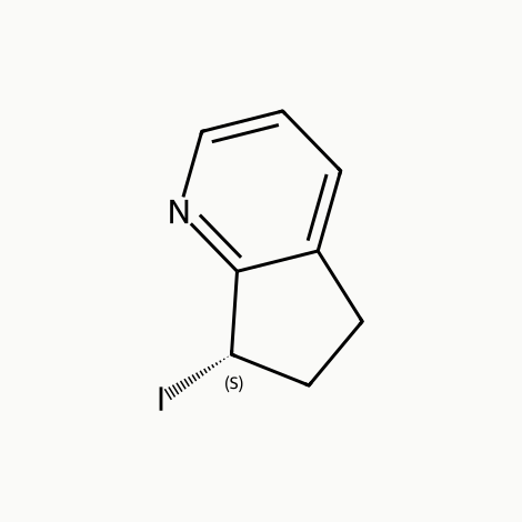 I[C@H]1CCc2cccnc21